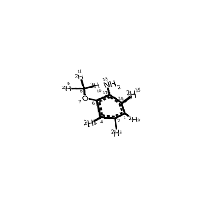 [2H]c1c([2H])c([2H])c(OC([2H])([2H])[2H])c(N)c1[2H]